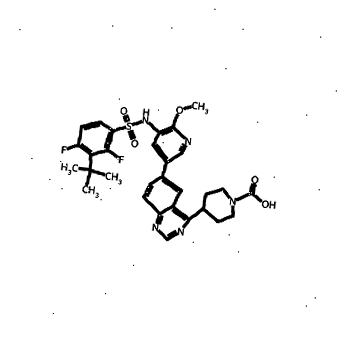 COc1ncc(-c2ccc3ncnc(C4CCN(C(=O)O)CC4)c3c2)cc1NS(=O)(=O)c1ccc(F)c(C(C)(C)C)c1F